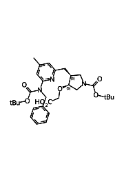 Cc1cc(C[C@H]2CN(C(=O)OC(C)(C)C)C[C@H]2OCC(=O)O)nc(N(Cc2ccccc2)C(=O)OC(C)(C)C)c1